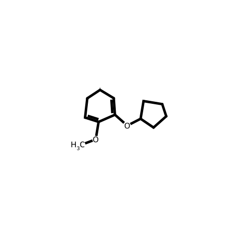 COC1=CC[CH]C=C1OC1CCCC1